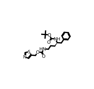 CC(C)(C)OC(=O)N[C@H](CCCNC(=O)OCc1cncs1)Cc1ccccc1